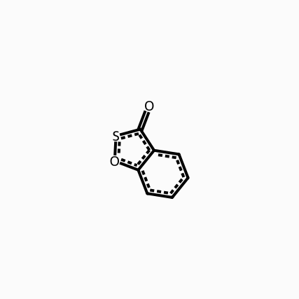 O=c1soc2ccccc12